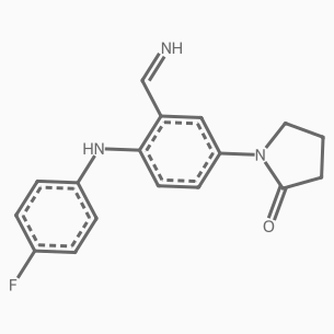 N=Cc1cc(N2CCCC2=O)ccc1Nc1ccc(F)cc1